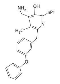 CCCc1nc(Cc2cccc(Oc3ccccc3)c2)c(C)c(CN)c1O